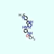 C=CC(=O)Nc1cccc(Nc2ncnc3[nH]c(-c4ccc(C)nc4)cc23)c1